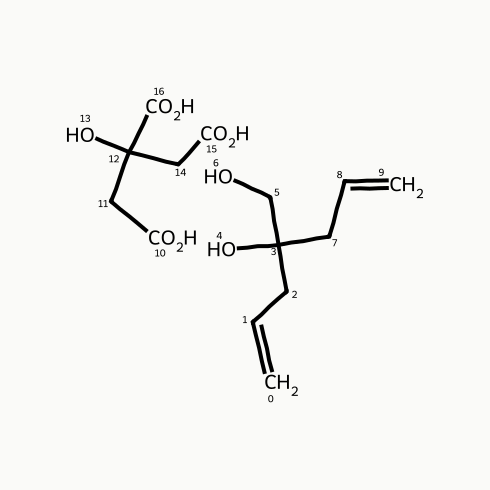 C=CCC(O)(CO)CC=C.O=C(O)CC(O)(CC(=O)O)C(=O)O